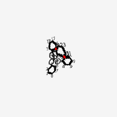 c1ccc(O[PH](Oc2ccccc2)(Oc2ccccc2)c2ccccc2)cc1